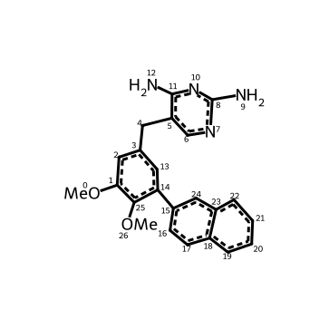 COc1cc(Cc2cnc(N)nc2N)cc(-c2ccc3ccccc3c2)c1OC